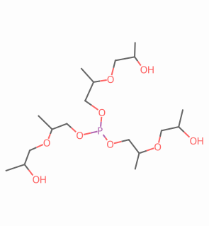 CC(O)COC(C)COP(OCC(C)OCC(C)O)OCC(C)OCC(C)O